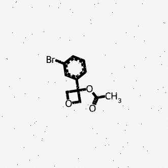 CC(=O)OC1(c2cccc(Br)c2)COC1